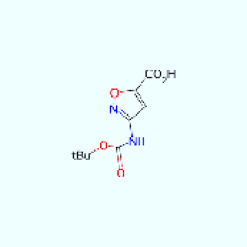 CC(C)(C)OC(=O)Nc1cc(C(=O)O)on1